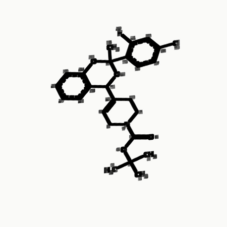 CC(C)(C)OC(=O)N1CC=C(C2OC(C)(c3ccc(Cl)cc3F)Oc3ccccc32)CC1